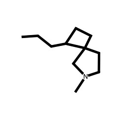 CCCC1CCC12CCN(C)C2